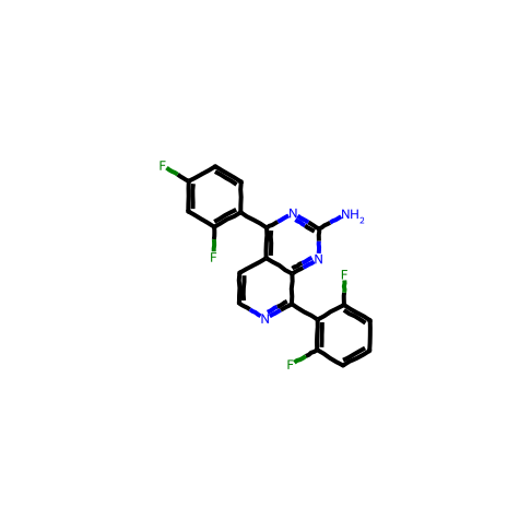 Nc1nc(-c2ccc(F)cc2F)c2ccnc(-c3c(F)cccc3F)c2n1